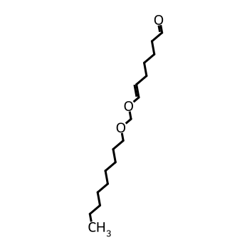 CCCCCCCCCOCOC=CCCCCC=O